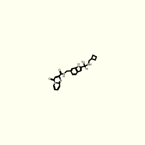 [2H]C([2H])(NCC1CCC1)c1cc2ccc(CNC(=O)c3cc(=O)n4ccccc4n3)cc2[nH]1